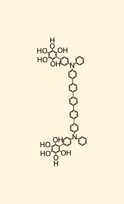 Oc1c(O)c(O)c(-c2ccc(N(c3ccccc3)c3ccc(-c4ccc(-c5ccc(-c6ccc(-c7ccc(N(c8ccccc8)c8ccc(-c9c(O)c(O)c(O)c(O)c9O)cc8)cc7)cc6)cc5)cc4)cc3)cc2)c(O)c1O